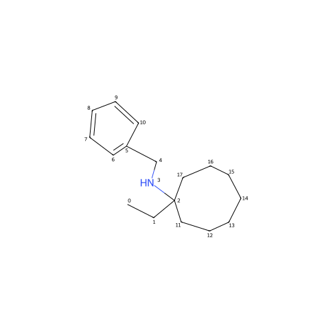 CCC1(NCc2ccccc2)CCCCCCC1